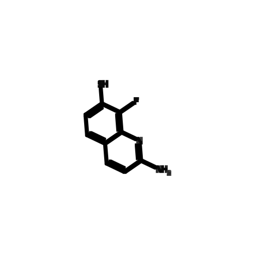 Nc1ccc2ccc(S)c(F)c2n1